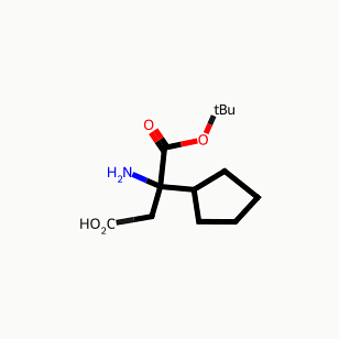 CC(C)(C)OC(=O)C(N)(CC(=O)O)C1CCCC1